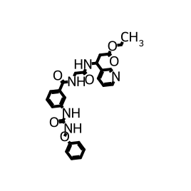 CCOC(=O)CC(NC(=O)CNC(=O)c1cccc(NC(=O)NOc2ccccc2)c1)c1cccnc1